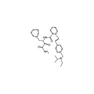 CCN(Cc1ccc(/C=C/c2ccccc2C(=O)NC(Cc2ccccc2)C(=O)C(N)=O)cc1)C(C)C